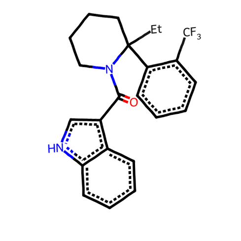 CCC1(c2ccccc2C(F)(F)F)CCCCN1C(=O)c1c[nH]c2ccccc12